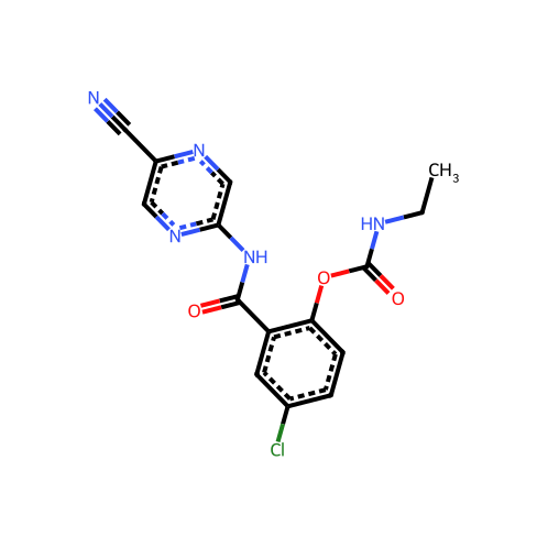 CCNC(=O)Oc1ccc(Cl)cc1C(=O)Nc1cnc(C#N)cn1